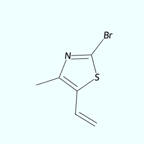 C=Cc1sc(Br)nc1C